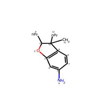 CCCC1Oc2cc(N)ccc2C1(C)CCC